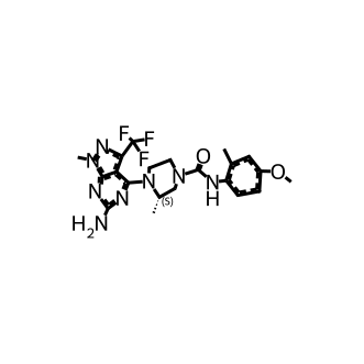 COc1ccc(NC(=O)N2CCN(c3nc(N)nc4c3c(C(F)(F)F)nn4C)[C@@H](C)C2)c(C)c1